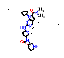 CN(C)C(=O)c1cc2cnc(Nc3ccc(N4C[C@@]5(CCCNC5)OC4=O)cn3)nc2n1C1CCCC1